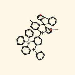 Cc1ccc2c(c1)C1(c3ccccc3-c3ccccc31)c1cc(C)ccc1N2c1ccc2c(c1)S(c1ccccc1)(c1ccccc1)c1ccccc1P2c1ccccc1